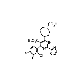 CCOC(=O)C1=C([C@@H]2CCC[C@H](C(=O)O)CC2)NC(c2nccs2)=NC1c1ccc(F)c(F)c1Cl